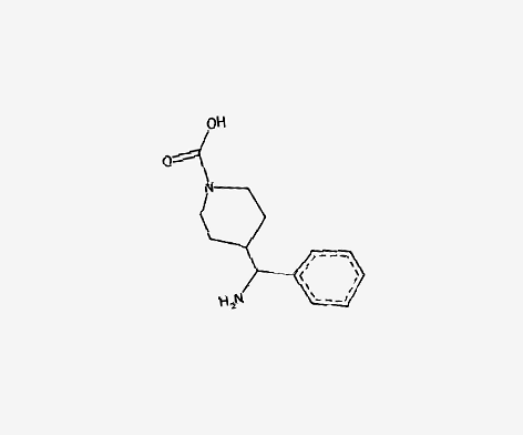 NC(c1ccccc1)C1CCN(C(=O)O)CC1